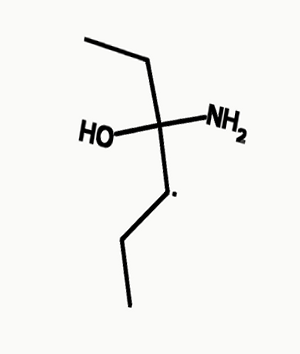 CC[CH]C(N)(O)CC